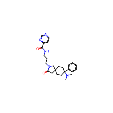 CN(C)C1(c2ccccc2)CCC2(CC1)CC(=O)N(CCCNC(=O)c1ccncn1)C2